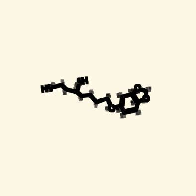 SCCC(S)CCCCOc1ccc2c(c1)OCO2